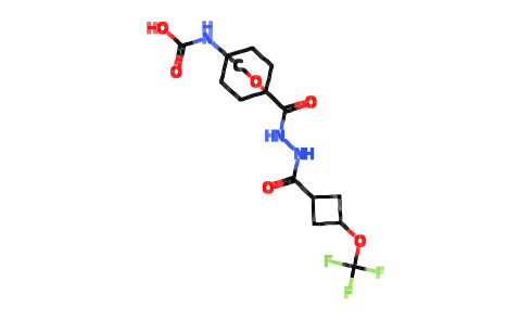 O=C(O)NC12CCC(C(=O)NNC(=O)C3CC(OC(F)(F)F)C3)(CC1)OC2